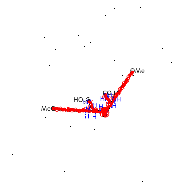 COCCOCCOCCOCCOCCOCCOCCOCCOCC(=O)NCCCCC(NC(=O)CCCNC(=O)C(C(C(=O)NCCCC(=O)NC(CCCCNC(=O)COCCOCCOCCOCCOCCOCCOCCOCCOC)C(=O)NCC(=O)NCC(=O)NCC(=O)O)N1C(=O)C=CC1=O)N1C(=O)C=CC1=O)C(=O)NCC(=O)NCC(=O)NCC(=O)O